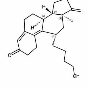 C=C1CC[C@H]2[C@@H]3CCC4=CC(=O)CCC4=C3[C@@H](CCCCO)C[C@]12C